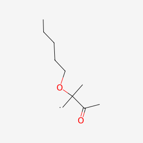 [CH2]C(C)(OCCCCC)C(C)=O